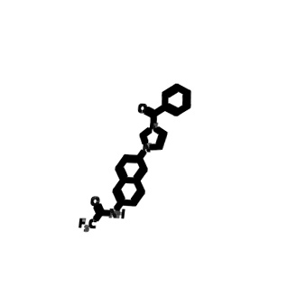 O=C(c1ccccc1)N1C=CN(c2ccc3cc(NC(=O)C(F)(F)F)ccc3c2)C1